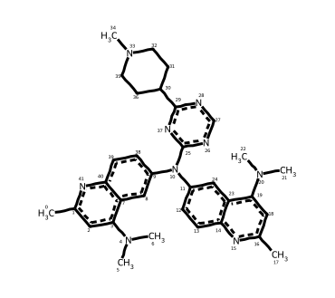 Cc1cc(N(C)C)c2cc(N(c3ccc4nc(C)cc(N(C)C)c4c3)c3ncnc(C4CCN(C)CC4)n3)ccc2n1